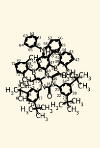 CC1=C2N(c3cc(C(C)(C)C)cc(C(C)(C)C)c3)C(=O)N(c3cc(C(C)(C)C)cc(C(C)(C)C)c3)C3=C(C)B(c4c(C)cccc4C)c4c(c(cc5c4c4ccccc4n5-c4ccccc4)B1c1c(C)cccc1C)N23